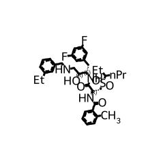 CCCC(CC)S(=O)(=O)C[C@H](NC(=O)c1ccccc1C)C(=O)N[C@@H](Cc1cc(F)cc(F)c1)[C@H](O)CNCc1cccc(CC)c1